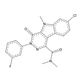 CN(C)C(=O)c1nn(-c2cccc(F)c2)c(=O)c2c1c1ccc(Cl)cc1n2C